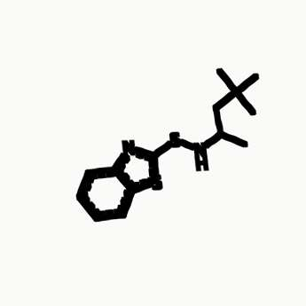 CC(CC(C)(C)C)NSc1nc2ccccc2s1